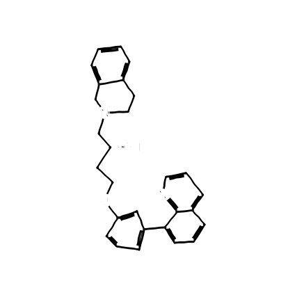 O[C@H](CCOc1cccc(-c2cccc3cccnc23)c1)CN1CCc2ccccc2C1